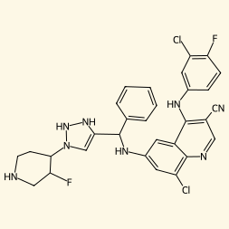 N#Cc1cnc2c(Cl)cc(NC(C3=CN(C4CCNCC4F)NN3)c3ccccc3)cc2c1Nc1ccc(F)c(Cl)c1